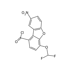 O=C(Cl)c1ccc(OC(F)F)c2oc3ccc([N+](=O)[O-])cc3c12